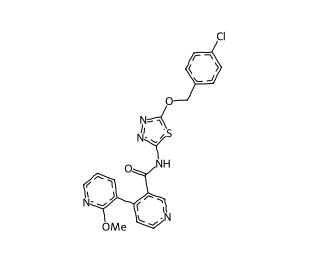 COc1ncccc1-c1ccncc1C(=O)Nc1nnc(OCc2ccc(Cl)cc2)s1